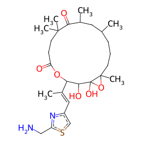 CC(=Cc1csc(CN)n1)C1OC(=O)CCC(C)(C)C(=O)C(C)CC(C)CCCC2(C)OC2(O)C1O